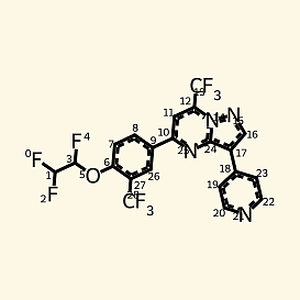 FC(F)C(F)Oc1ccc(-c2cc(C(F)(F)F)n3ncc(-c4ccncc4)c3n2)cc1C(F)(F)F